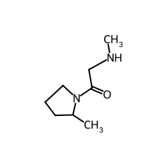 CNCC(=O)N1CCCC1C